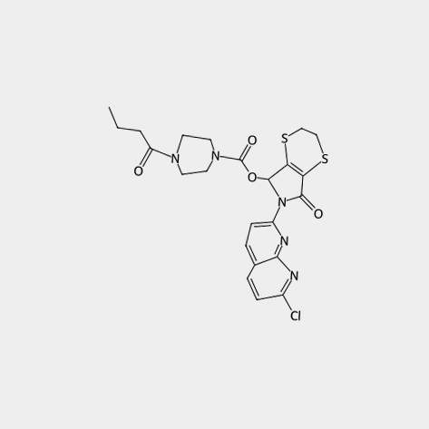 CCCC(=O)N1CCN(C(=O)OC2C3=C(SCCS3)C(=O)N2c2ccc3ccc(Cl)nc3n2)CC1